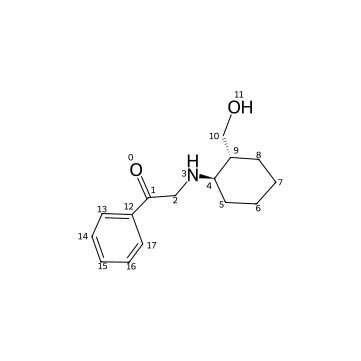 O=C(CN[C@@H]1CCCC[C@H]1CO)c1ccccc1